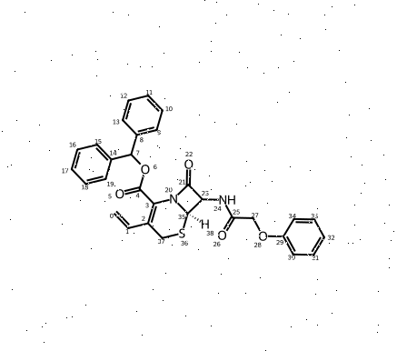 C=CC1=C(C(=O)OC(c2ccccc2)c2ccccc2)N2C(=O)C(NC(=O)COc3ccccc3)[C@H]2SC1